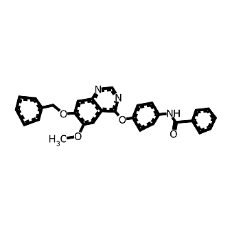 COc1cc2c(Oc3ccc(NC(=O)c4ccccc4)cc3)ncnc2cc1OCc1ccccc1